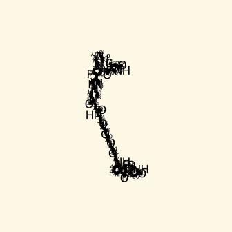 C[C@@H]1CN(c2cc(F)c(-c3cnc(N4CCN(C(=O)CCC(=O)NCCOCCOCCOCCOCCNc5cccc6c5C(=O)N(C5CCC(=O)NC5=O)C6=O)CC4)nc3)cc2NC(=O)c2c[nH]c(=O)cc2C(F)(F)F)C[C@H](C)N1C